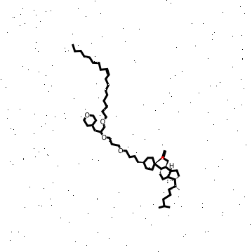 C=CC[C@H]1[C@@H]2CC[C@H]([C@H](C)CCCC(C)C)[C@@]2(C)CC[C@@H]1[C@]1(C)CC[C@@H](CCCCOCCCOC(COCCCCCCCC/C=C\CCCCCCCC)CC2CCOCC2)CC1